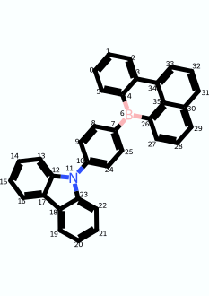 c1ccc2c(c1)B(c1ccc(-n3c4ccccc4c4ccccc43)cc1)c1cccc3cccc-2c13